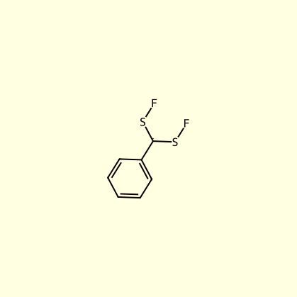 FS[C](SF)c1ccccc1